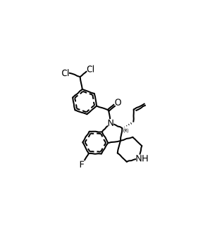 C=CC[C@H]1N(C(=O)c2cccc(C(Cl)Cl)c2)c2ccc(F)cc2C12CCNCC2